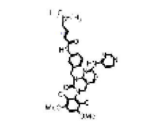 COc1cc(OC)c(Cl)c(N2Cc3cnc(Nc4ccncn4)nc3N(Cc3cccc(NC(=O)/C=C/CN(C)C)c3)C2=O)c1Cl